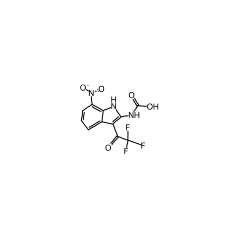 O=C(O)Nc1[nH]c2c([N+](=O)[O-])cccc2c1C(=O)C(F)(F)F